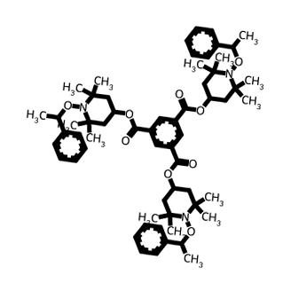 CC(ON1C(C)(C)CC(OC(=O)c2cc(C(=O)OC3CC(C)(C)N(OC(C)c4ccccc4)C(C)(C)C3)cc(C(=O)OC3CC(C)(C)N(OC(C)c4ccccc4)C(C)(C)C3)c2)CC1(C)C)c1ccccc1